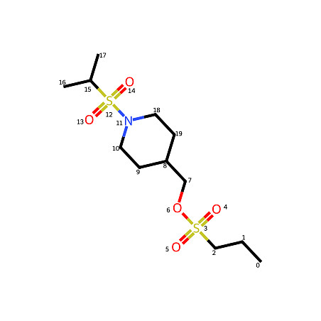 CCCS(=O)(=O)OCC1CCN(S(=O)(=O)C(C)C)CC1